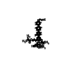 C=C(C)C(=O)OCCCc1cc(-c2ccc(C3=CCC(C4CCC(CCCCC)CC4)CC3)cc2F)cc(OC(=O)C(=C)C)c1OCC(CO)(CO)CO